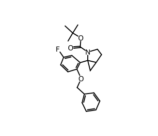 CC(C)(C)OC(=O)N1CCC2CC21c1cc(F)ccc1OCc1ccccc1